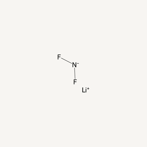 F[N-]F.[Li+]